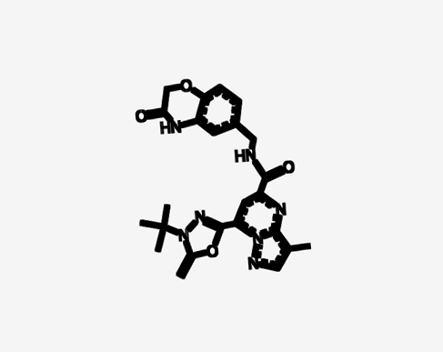 C=C1OC(c2cc(C(=O)NCc3ccc4c(c3)NC(=O)CO4)nc3c(C)cnn23)=NN1C(C)(C)C